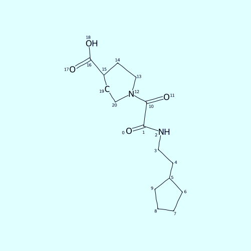 O=C(NCCC1CCCC1)C(=O)N1CCC(C(=O)O)CC1